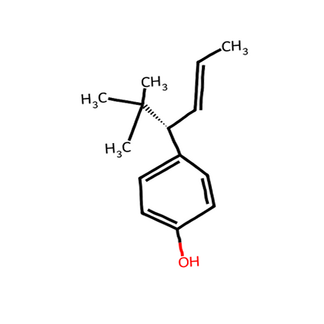 C/C=C/[C@H](c1ccc(O)cc1)C(C)(C)C